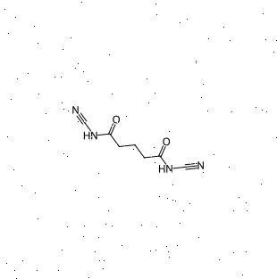 N#CNC(=O)CCCC(=O)NC#N